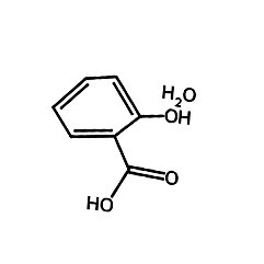 O.O=C(O)c1ccccc1O